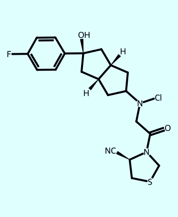 N#C[C@@H]1CSCN1C(=O)CN(Cl)C1C[C@@H]2C[C@](O)(c3ccc(F)cc3)C[C@@H]2C1